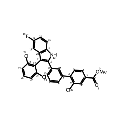 COC(=O)c1ccc(-c2cccc(-c3[nH]c4ccc(F)cc4c3-c3c(Cl)cccc3Cl)c2)c(Cl)c1